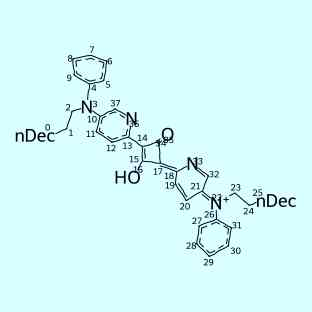 CCCCCCCCCCCCN(c1ccccc1)c1ccc(C2=C(O)/C(=C3C=C/C(=[N+](/CCCCCCCCCCCC)c4ccccc4)C=N\3)C2=O)nc1